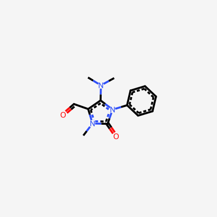 CN(C)c1c(C=O)n(C)c(=O)n1-c1ccccc1